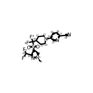 Cn1cc(S(=O)(=O)C(F)(F)C2CCN(c3ccc(C#N)nc3)CC2)c(C(F)F)n1